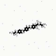 C=C(C)C(=O)Oc1ccc(OC(=O)c2ccc(C(=O)Oc3ccc(C(C)(C)C(C)OC(=O)C(=C)C)cc3)c(F)c2)c(F)c1